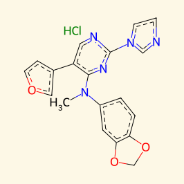 CN(c1ccc2c(c1)OCO2)c1nc(-n2ccnc2)ncc1-c1ccoc1.Cl